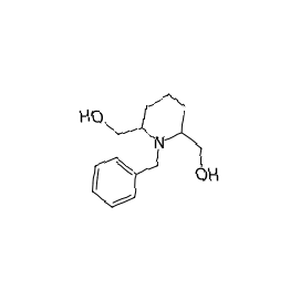 OCC1CCCC(CO)N1Cc1ccccc1